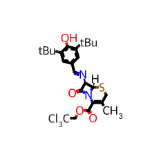 CC1=C(C(=O)OCC(Cl)(Cl)Cl)N2C(=O)[C@@H](/N=C/c3cc(C(C)(C)C)c(O)c(C(C)(C)C)c3)[C@H]2SC1